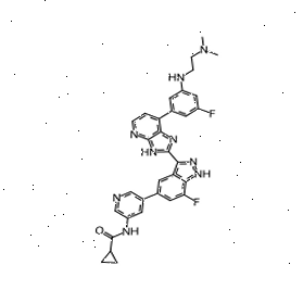 CN(C)CCNc1cc(F)cc(-c2ccnc3[nH]c(-c4n[nH]c5c(F)cc(-c6cncc(NC(=O)C7CC7)c6)cc45)nc23)c1